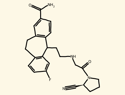 N#C[C@@H]1CCCN1C(=O)CNCCC1c2ccc(C(N)=O)cc2CCc2ccc(F)cc21